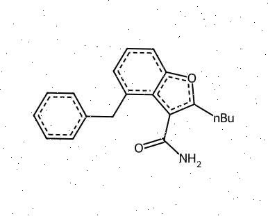 CCCCc1oc2cccc(Cc3ccccc3)c2c1C(N)=O